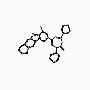 C=C1CC(c2ccccc2)=NC(c2cc(C)c3oc4cc5ccccc5cc4c3c2)=NC1c1ccccc1